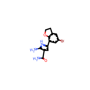 NC(=O)c1cc(-c2cc(Br)cc3c2OCC3)[nH]c1N